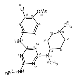 CCCNc1nc(Nc2ccc(OC)c(Cl)c2)nc(N(C)C2CCN(C)CC2)n1